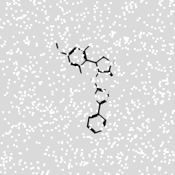 COc1cc(F)c(C2CNC(=O)C2Nc2nnc(-c3cccnc3)o2)c(F)c1